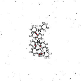 c1ccc(-c2ccccc2N(c2ccc3c(c2)C2(c4ccccc4S3)c3ccccc3-c3cccc4cccc2c34)c2ccc3c(c2)c2ccccc2n3-c2ccccc2)cc1